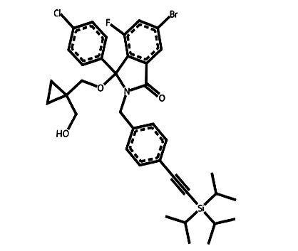 CC(C)[Si](C#Cc1ccc(CN2C(=O)c3cc(Br)cc(F)c3C2(OCC2(CO)CC2)c2ccc(Cl)cc2)cc1)(C(C)C)C(C)C